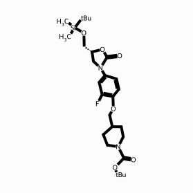 CC(C)(C)OC(=O)N1CCC(COc2ccc(N3C[C@H](CO[Si](C)(C)C(C)(C)C)OC3=O)cc2F)CC1